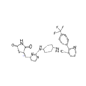 O=C1NC(=O)/C(=C\c2ccnc(NC3CCC(NCc4cccnc4-c4ccc(C(F)(F)F)cc4)CC3)n2)S1